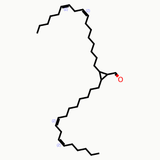 CCCCC/C=C\C/C=C\CCCCCCCC1C(C=O)C1CCCCCCC/C=C\C/C=C\CCCCC